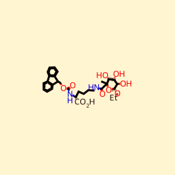 CCO[C@@H]1OC(C)(C(=O)NCCCCC(NC(=O)OCC2c3ccccc3-c3ccccc32)C(=O)O)[C@@H](O)[C@H](O)C1O